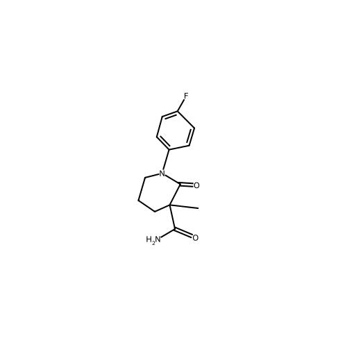 CC1(C(N)=O)CCCN(c2ccc(F)cc2)C1=O